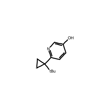 CC(C)(C)C1(c2ccc(O)cn2)[CH]C1